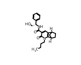 CCCCn1c2c(cc(C(=O)N[C@H](CO)c3ccccc3)c1=O)[C@@H]1CC[C@H]2C1